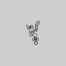 CC(C)CS(=O)(=O)CC(CC(=O)N1CCOCC1)C(=O)NC1CCCN(S(=O)(=O)c2ccccc2)CC1=O